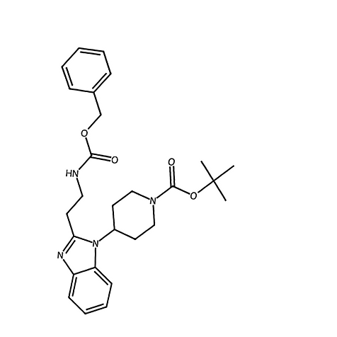 CC(C)(C)OC(=O)N1CCC(n2c(CCNC(=O)OCc3ccccc3)nc3ccccc32)CC1